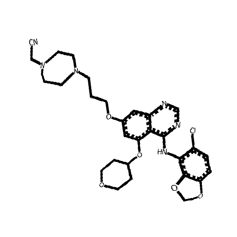 N#CCN1CCN(CCCOc2cc(OC3CCOCC3)c3c(Nc4c(Cl)ccc5c4OCO5)ncnc3c2)CC1